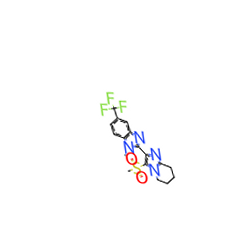 Cn1c(-c2nc3n(c2S(C)(=O)=O)CCCC3)nc2cc(C(F)(F)F)ccc21